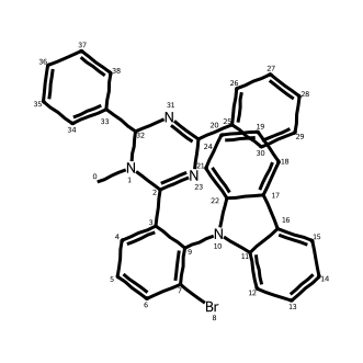 CN1C(c2cccc(Br)c2-n2c3ccccc3c3ccccc32)=NC(c2ccccc2)=NC1c1ccccc1